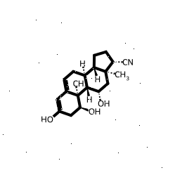 C[C@]12C[C@H](O)[C@H]3[C@@H](CC=C4C=C(O)C[C@H](O)[C@@]43C)[C@@H]1CC[C@@H]2C#N